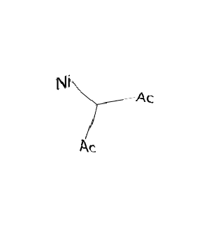 CC(=O)[CH]([Ni])C(C)=O